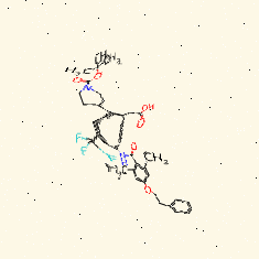 Cc1cc(OCCc2ccccc2)cc(C)c1C(=O)Nc1cc(CC(=O)O)c(C2CCN(C(=O)OC(C)(C)C)CC2)cc1C(F)(F)F